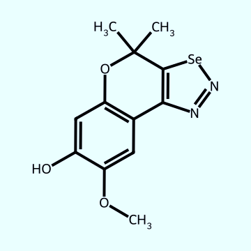 COc1cc2c(cc1O)OC(C)(C)c1[se]nnc1-2